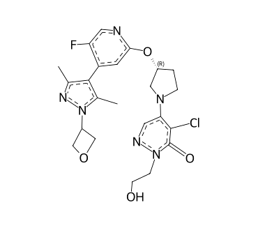 Cc1nn(C2COC2)c(C)c1-c1cc(O[C@@H]2CCN(c3cnn(CCO)c(=O)c3Cl)C2)ncc1F